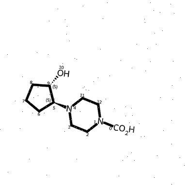 O=C(O)N1CCN([C@H]2CCC[C@@H]2O)CC1